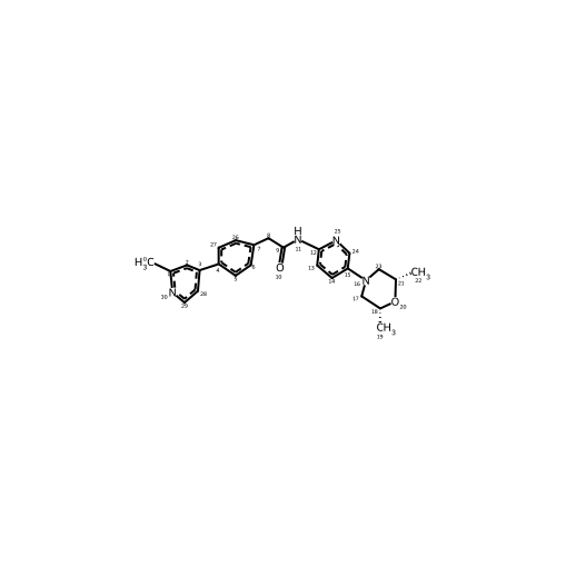 Cc1cc(-c2ccc(CC(=O)Nc3ccc(N4C[C@@H](C)O[C@@H](C)C4)cn3)cc2)ccn1